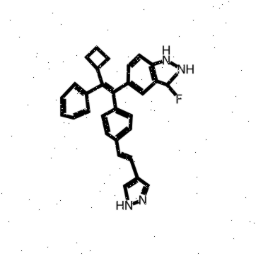 FC1NNc2ccc(/C(=C(/c3ccccc3)C3CCC3)c3ccc(/C=C/c4cn[nH]c4)cc3)cc21